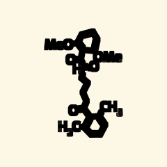 COc1cccc(OC)c1C(=O)[PH](=O)CCCCC(=O)c1c(C)cccc1C